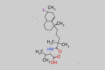 CC(C)[C@H](NC(=O)C(C)(C)CCC[C@]1(C)CCCC2C[C@@](C)(I)CC=C21)C(=O)O